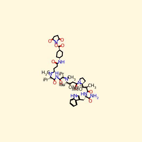 CC[C@H](C)[C@@H]([C@@H](CC(=O)N1CCC[C@H]1[C@H](OC)[C@@H](C)C(=O)N[C@@H](Cc1c[nH]c2ccccc12)C(N)=O)OC)N(C)[C@H](C(=O)NC(=O)[C@H](C(C)C)N(C)CCCC(=O)N[C@H]1CC[C@H](C(=O)ON2C(=O)CCC2=O)CC1)C(C)C